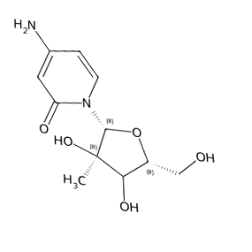 C[C@@]1(O)C(O)[C@@H](CO)O[C@H]1n1ccc(N)cc1=O